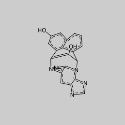 OC1=C2c3cc(O)cc4cccc(c34)C1n1c3ncnc-3cc3c1ncn32